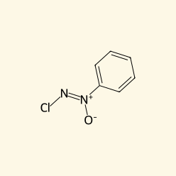 [O-][N+](=NCl)c1ccccc1